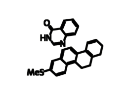 CSc1ccc2c3c(ccc2c1)C1=C(CCC=C1)CC3.O=c1[nH]cnc2ccccc12